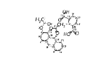 CC(=O)Oc1ccc2cc3ccccc3cc2c1OC(C)=O.O=C(O)c1cccc(C(=O)O)c1